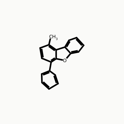 Cc1ccc(-c2ccccc2)c2oc3ccccc3c12